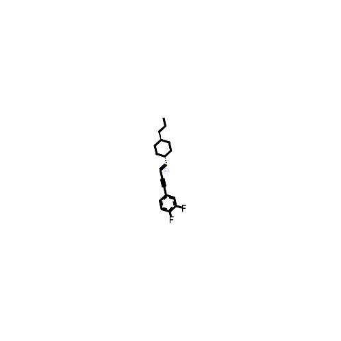 CCC[C@H]1CC[C@H](/C=C/C#Cc2ccc(F)c(F)c2)CC1